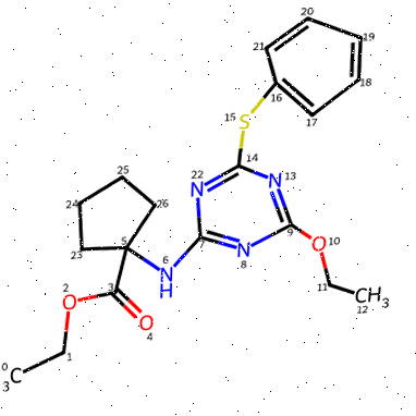 CCOC(=O)C1(Nc2nc(OCC)nc(Sc3ccccc3)n2)CCCC1